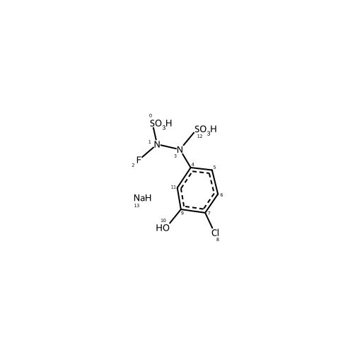 O=S(=O)(O)N(F)N(c1ccc(Cl)c(O)c1)S(=O)(=O)O.[NaH]